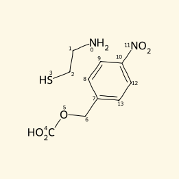 NCCS.O=C(O)OCc1ccc([N+](=O)[O-])cc1